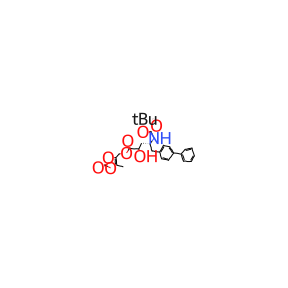 Cc1oc(=O)oc1COC(=O)[C@H](O)C[C@@H](Cc1ccc(-c2ccccc2)cc1)NC(=O)OC(C)(C)C